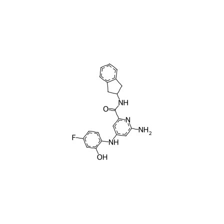 Nc1cc(Nc2ccc(F)cc2O)cc(C(=O)NC2Cc3ccccc3C2)n1